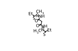 CCC(=S)N(C)NC(=O)CC(=O)NN(C)C(=S)CC